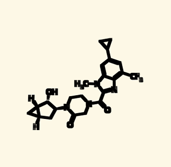 Cn1c(C(=O)N2CCN([C@H]3C[C@@H]4C[C@@H]4[C@@H]3O)C(=O)C2)nc2c(C(F)(F)F)cc(C3CC3)cc21